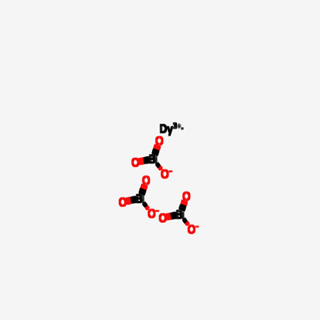 [Dy+3].[O]=[Bi](=[O])[O-].[O]=[Bi](=[O])[O-].[O]=[Bi](=[O])[O-]